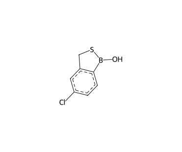 OB1SCc2cc(Cl)ccc21